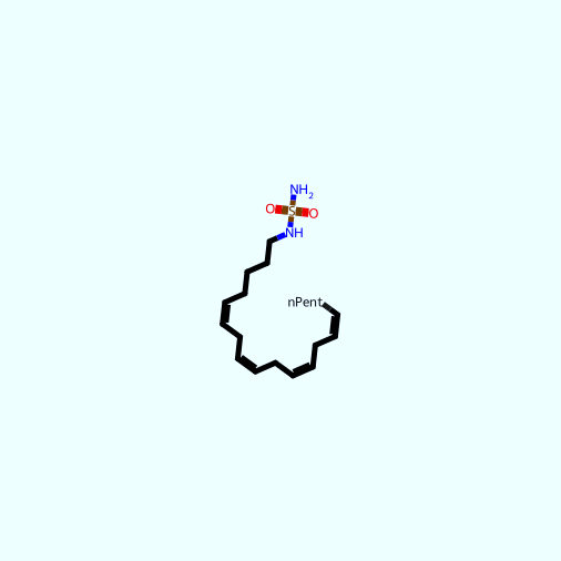 CCCCC/C=C\C/C=C\C/C=C\C/C=C\CCCCNS(N)(=O)=O